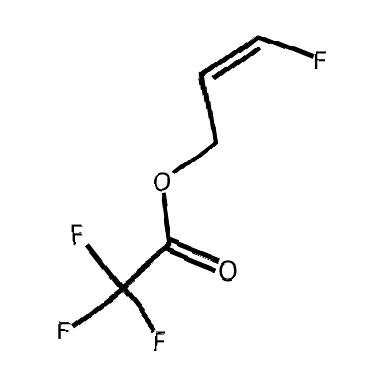 O=C(OC/C=C\F)C(F)(F)F